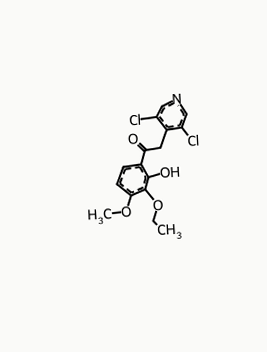 CCOc1c(OC)ccc(C(=O)Cc2c(Cl)cncc2Cl)c1O